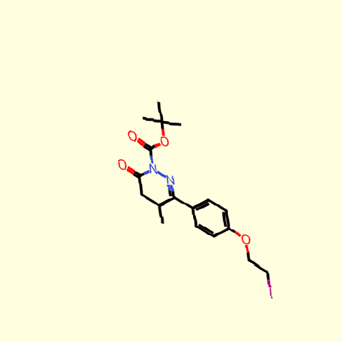 CC1CC(=O)N(C(=O)OC(C)(C)C)N=C1c1ccc(OCCI)cc1